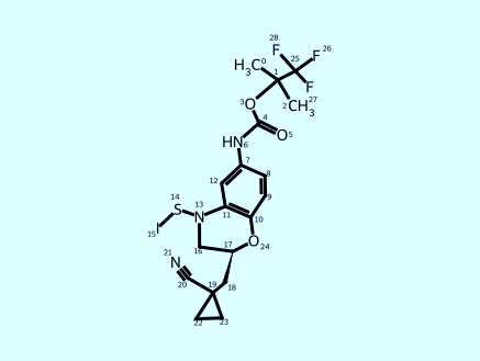 CC(C)(OC(=O)Nc1ccc2c(c1)N(SI)C[C@H](CC1(C#N)CC1)O2)C(F)(F)F